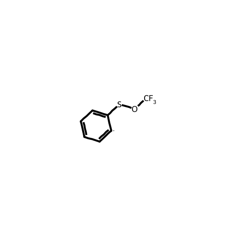 FC(F)(F)OSc1[c]cccc1